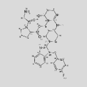 CN(c1nccc(=O)n1COC(=O)C1CCCN1C(=O)CN)C1CCN(c2nc3ccccc3n2Cc2ccc(F)cc2)CC1